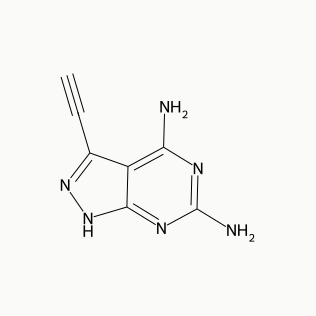 C#Cc1n[nH]c2nc(N)nc(N)c12